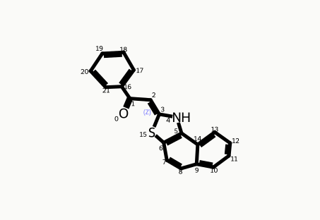 O=C(/C=C1/Nc2c(ccc3ccccc23)S1)c1ccccc1